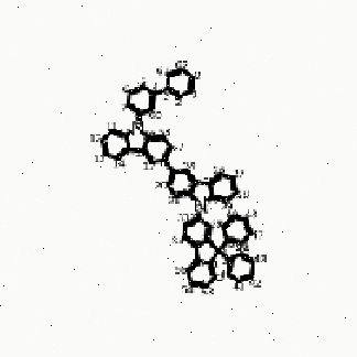 c1ccc(-c2cccc(-n3c4ccccc4c4cc(-c5ccc6c(c5)c5ccccc5n6-c5ccc6c(c5)C(c5ccccc5)(c5ccccc5)c5ccccc5-6)ccc43)c2)cc1